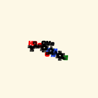 COc1cc(N2Cc3nn(-c4ccc(Cl)cc4)nc3C2=O)ccc1OCC(O)C1CC1